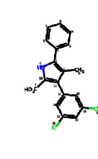 Cc1c(-c2ccccc2)[nH]c(C(=O)O)c1-c1cc(Cl)cc(Cl)c1